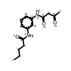 CCCCC(=O)Nc1cccc(NC(=O)CC(C)=O)c1